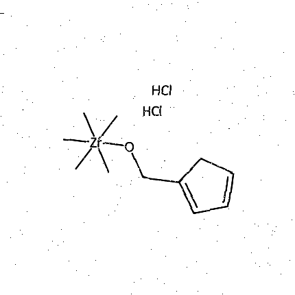 Cl.Cl.[CH3][Zr]([CH3])([CH3])([CH3])([CH3])[O]CC1=CC=CC1